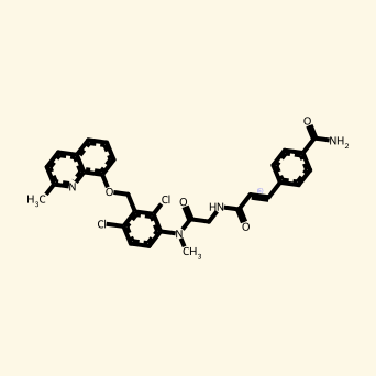 Cc1ccc2cccc(OCc3c(Cl)ccc(N(C)C(=O)CNC(=O)/C=C/c4ccc(C(N)=O)cc4)c3Cl)c2n1